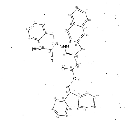 COC(=O)[C@H](Cc1ccccc1)NC[C@@H](Cc1ccc2ccccc2c1)NC(=O)OCC1c2ccccc2-c2ccccc21